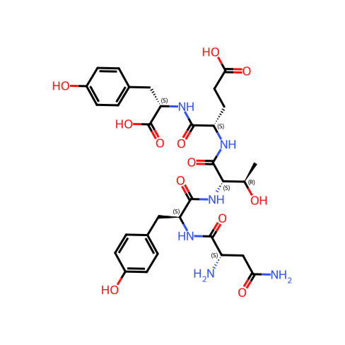 C[C@@H](O)[C@H](NC(=O)[C@H](Cc1ccc(O)cc1)NC(=O)[C@@H](N)CC(N)=O)C(=O)N[C@@H](CCC(=O)O)C(=O)N[C@@H](Cc1ccc(O)cc1)C(=O)O